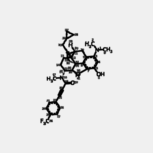 CN(C)c1cc(O)c2c3c1C[C@@H]1[C@@H]4CC[C@@H](N(C)C(=O)C#Cc5ccc(C(F)(F)F)cc5)[C@H](O2)[C@]34CCN1CC1CC1